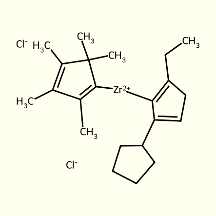 CCC1=[C]([Zr+2][C]2=C(C)C(C)=C(C)C2(C)C)C(C2CCCC2)=CC1.[Cl-].[Cl-]